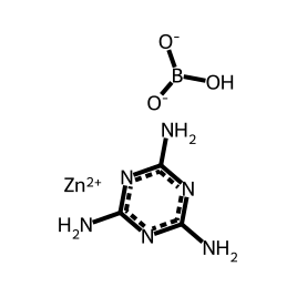 Nc1nc(N)nc(N)n1.[O-]B([O-])O.[Zn+2]